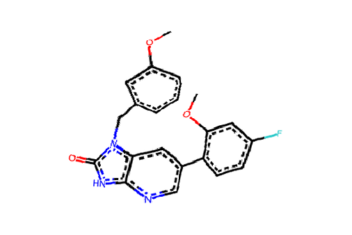 COc1cccc(Cn2c(=O)[nH]c3ncc(-c4ccc(F)cc4OC)cc32)c1